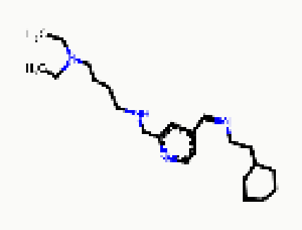 CCN(CC)CCCCNCc1cc(/C=N\CCC2CCCCC2)ccn1